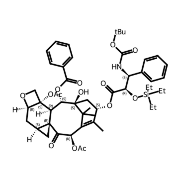 CC[Si](CC)(CC)O[C@@H](C(=O)O[C@H]1C[C@@]2(O)[C@@H](OC(=O)c3ccccc3)[C@@H]3[C@]4(OC(C)=O)CO[C@@H]4C[C@@H]4C[C@@]43C(=O)[C@H](OC(C)=O)C(=C1C)C2(C)C)[C@@H](NC(=O)OC(C)(C)C)c1ccccc1